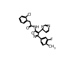 Cc1ccc(-c2noc(NC(=O)Cc3ccccc3Cl)c2-c2ccncn2)cc1F